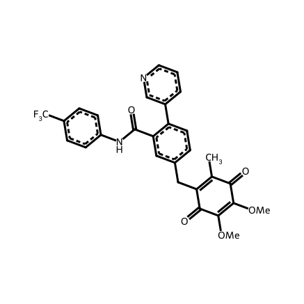 COC1=C(OC)C(=O)C(Cc2ccc(-c3cccnc3)c(C(=O)Nc3ccc(C(F)(F)F)cc3)c2)=C(C)C1=O